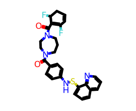 O=C(C1=C(F)C=CCC1F)N1CCCN(C(=O)c2ccc(NSc3cccc4cccnc34)cc2)CC1